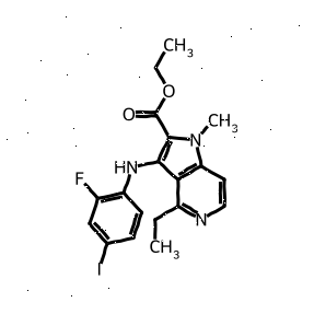 CCOC(=O)c1c(Nc2ccc(I)cc2F)c2c(CC)nccc2n1C